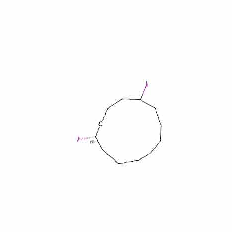 IC1CCCCCCC[C@H](I)CCC1